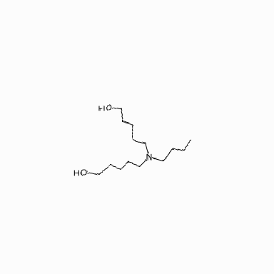 CCCCN(CCCCCO)CCCCCO